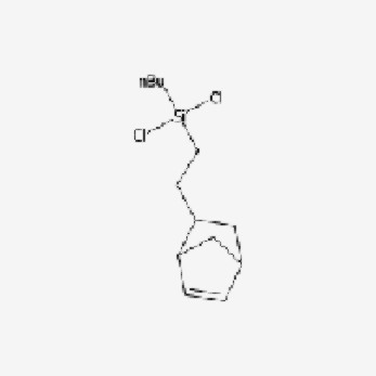 CCCC[Si](Cl)(Cl)CCC1CC2C=CC1C2